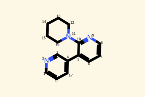 c1cncc(-c2cccnc2N2CCCCC2)c1